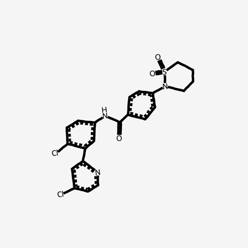 O=C(Nc1ccc(Cl)c(-c2cc(Cl)ccn2)c1)c1ccc(N2CCCCS2(=O)=O)cc1